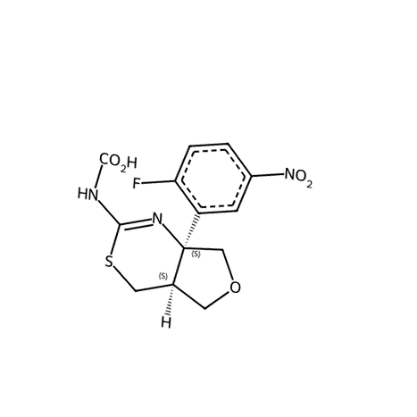 O=C(O)NC1=N[C@@]2(c3cc([N+](=O)[O-])ccc3F)COC[C@H]2CS1